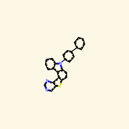 c1ccc(-c2ccc(-n3c4ccccc4c4c5c(ccc43)sc3cncnc35)cc2)cc1